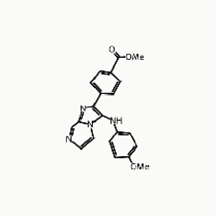 COC(=O)c1ccc(-c2nc3cnccn3c2Nc2ccc(OC)cc2)cc1